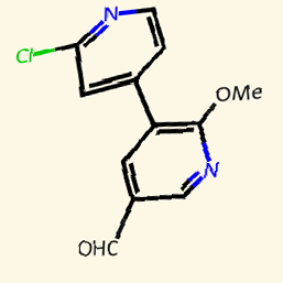 COc1ncc(C=O)cc1-c1ccnc(Cl)c1